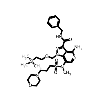 CN(c1cnc(N)c2c(C(=O)NCc3ccccc3)nn(COCC[Si](C)(C)C)c12)S(=O)(=O)CCCN1CCOCC1